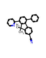 CC1(C)c2cc(C#N)ccc2-c2c(-c3ccccc3)ccc(-c3ccccn3)c21